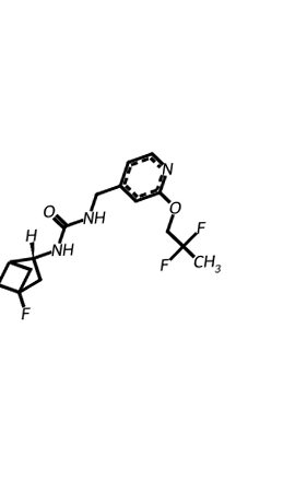 CC(F)(F)COc1cc(CNC(=O)N[C@@H]2CC3(F)CC2C3)ccn1